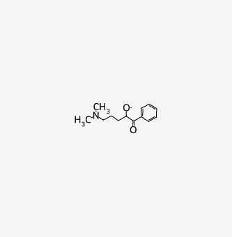 CN(C)CCCC([O])C(=O)c1ccccc1